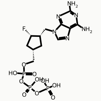 Nc1nc(N)c2ncn(C[C@@H]3C[C@H](COP(=O)(O)OP(=O)(O)OP(=O)(O)O)C[C@@H]3F)c2n1